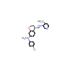 CN(c1ccc(Cl)cc1)c1ccc2c(c1)OCC[C@H]2CNc1cnccc1C(=O)O